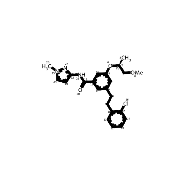 COC[C@H](C)Oc1cc(CCc2ccccc2Cl)cc(C(=O)Nc2ccn(C)n2)c1